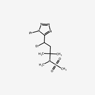 CCC(CC(C)(C)N(C)S(C)(=O)=O)c1nnnn1C(C)C